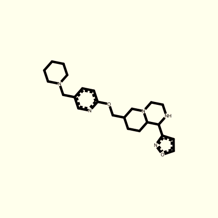 c1cc(C2NCCN3CC(COc4ccc(CN5CCCCC5)cn4)CCC23)no1